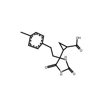 Cc1ccc(CCC2(C3CC3C(=O)O)NC(=O)NC2=O)cc1